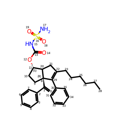 C=C(c1ccccc1)[C@@]12CC[C@H](OC(=O)NS(N)(=O)=O)C1CC(CCCCCC)=C2c1ccccc1